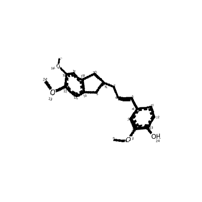 COc1cc(/C=C/CC2Cc3cc(OC)c(OC)cc3C2)ccc1O